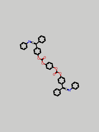 O=C(Oc1ccc(OC(=O)Oc2ccc(C(=C=Nc3ccccc3)c3ccccc3)cc2)cc1)Oc1ccc(C(=C=Nc2ccccc2)c2ccccc2)cc1